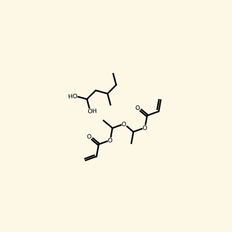 C=CC(=O)OC(C)OC(C)OC(=O)C=C.CCC(C)CC(O)O